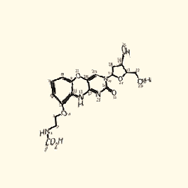 O=C(O)NCCOc1cccc2c1Nc1nc(=O)n(C3C[C@@H](O)[C@@H](CO)O3)cc1O2